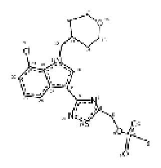 CS(=O)(=O)OCc1nc(-c2cn(CC3CCOCC3)c3c(Cl)cccc23)ns1